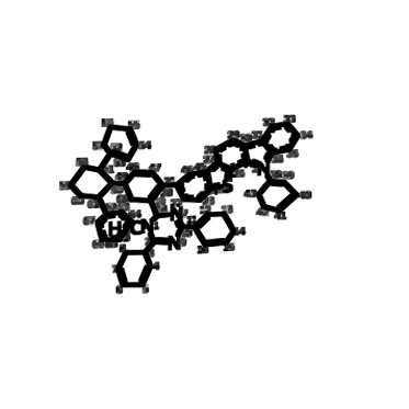 CN1C(C2C=CC=CC2)=NC(C2=CCCC=C2)=NC1C1=C(c2ccc3sc4c(ccc5c6ccccc6n(C6=CC=CCC6)c54)c3c2)C=CC(C2C(C3=CC=CCC3)CCCC2c2ccccc2)C1